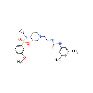 COc1cccc(S(=O)(=O)N(C2CC2)C2CCN(CCNC(=O)Nc3cc(C)nc(C)c3)CC2)c1